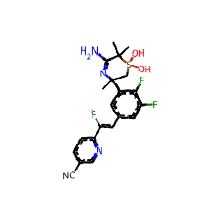 CC1(c2cc(C=C(F)c3ccc(C#N)cn3)cc(F)c2F)CS(O)(O)C(C)(C)C(N)=N1